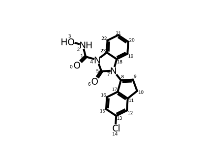 O=C(NO)n1c(=O)n(C2=CCc3cc(Cl)ccc32)c2ccccc21